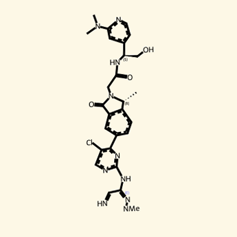 CN/N=C(\C=N)Nc1ncc(Cl)c(-c2ccc3c(c2)C(=O)N(CC(=O)N[C@H](CO)c2ccnc(N(C)C)c2)[C@@H]3C)n1